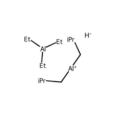 CC(C)[CH2][Al+][CH2]C(C)C.C[CH2][Al]([CH2]C)[CH2]C.[H-]